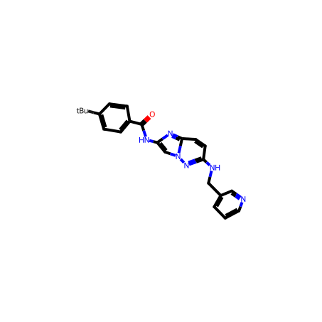 CC(C)(C)c1ccc(C(=O)Nc2cn3nc(NCc4cccnc4)ccc3n2)cc1